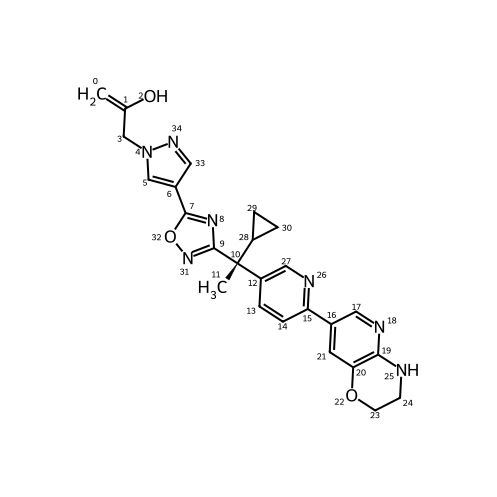 C=C(O)Cn1cc(-c2nc([C@@](C)(c3ccc(-c4cnc5c(c4)OCCN5)nc3)C3CC3)no2)cn1